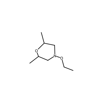 CCON1CC(C)OC(C)C1